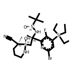 CC[Si](CC)(CC)c1cc(Br)nc([C@](C)(C[S@@]2(O)NCCC[C@@]2(C)C#N)N[S@+]([O-])C(C)(C)C)c1F